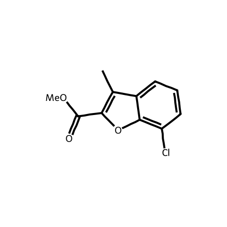 COC(=O)c1oc2c(Cl)cccc2c1C